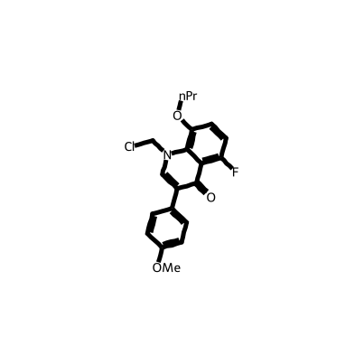 CCCOc1ccc(F)c2c(=O)c(-c3ccc(OC)cc3)cn(CCl)c12